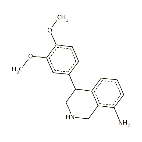 COc1ccc(C2CNCc3c(N)cccc32)cc1OC